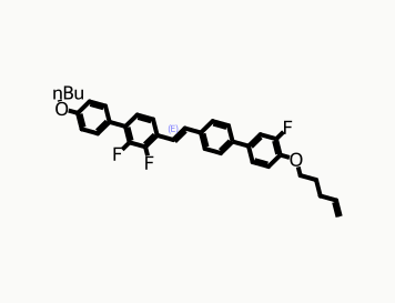 C=CCCCOc1ccc(-c2ccc(/C=C/c3ccc(-c4ccc(OCCCC)cc4)c(F)c3F)cc2)cc1F